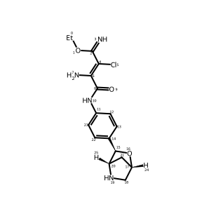 CCOC(=N)/C(Cl)=C(\N)C(=O)Nc1ccc([C@H]2O[C@@H]3CN[C@H]2C3)cc1